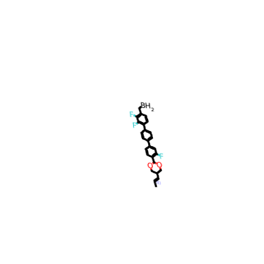 BCc1ccc(-c2ccc(-c3ccc(C4OCC(/C=C/C)CO4)c(F)c3)cc2)c(F)c1F